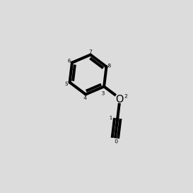 C#COc1cc[c]cc1